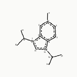 Cc1ccc2c(c1)[n+](C(C)C)cn2C(C)C